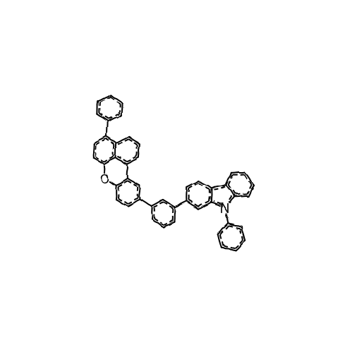 c1ccc(-c2ccc3c4c(cccc24)-c2cc(-c4cccc(-c5ccc6c7ccccc7n(-c7ccccc7)c6c5)c4)ccc2O3)cc1